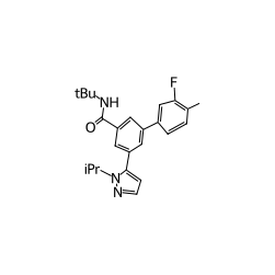 Cc1ccc(-c2cc(C(=O)NC(C)(C)C)cc(-c3ccnn3C(C)C)c2)cc1F